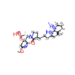 COc1ccc([C@H](CC(=O)O)N2CCC(CCCC3=CC=C4CCCNC4N3)C2=O)cn1